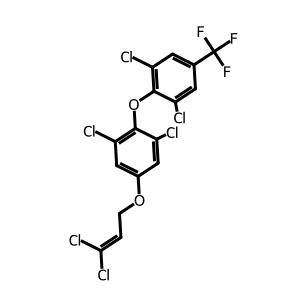 FC(F)(F)c1cc(Cl)c(Oc2c(Cl)cc(OCC=C(Cl)Cl)cc2Cl)c(Cl)c1